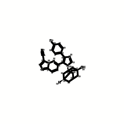 N#Cc1cnc2ccc(-c3c(-c4ccc(F)cc4)ncn3[C@@]34CC5C[C@H](C[C@@](O)(C5)C3)C4)nn12